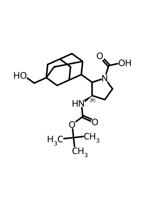 CC(C)(C)OC(=O)N[C@@H]1CCN(C(=O)O)C1C1C2CC3CC1CC(CO)(C3)C2